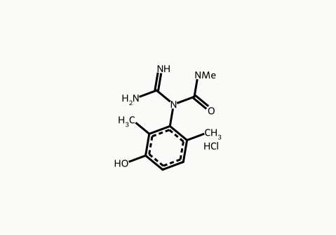 CNC(=O)N(C(=N)N)c1c(C)ccc(O)c1C.Cl